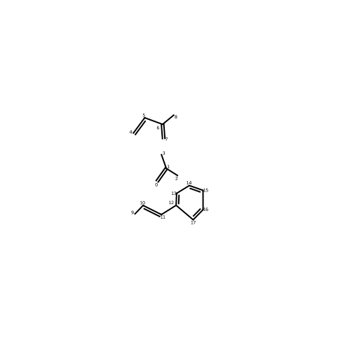 C=C(C)C.C=CC(=C)C.CC=Cc1ccccc1